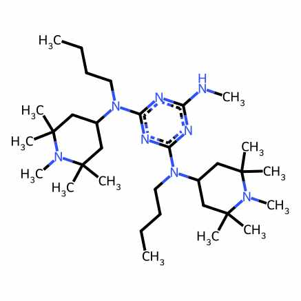 CCCCN(c1nc(NC)nc(N(CCCC)C2CC(C)(C)N(C)C(C)(C)C2)n1)C1CC(C)(C)N(C)C(C)(C)C1